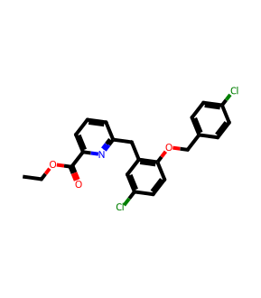 CCOC(=O)c1cccc(Cc2cc(Cl)ccc2OCc2ccc(Cl)cc2)n1